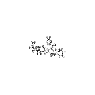 Cc1ccc(Nc2c(C(=O)NOC(C)(C)C)cc(Cc3ccnc(NS(=O)(=O)NC4CC4)c3F)c(F)c2F)c(Cl)c1